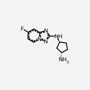 N[C@H]1CC[C@H](Nc2nc3cc(F)ccn3n2)C1